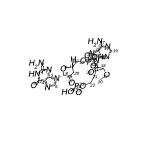 Nc1nc2c(ncn2[C@@H]2O[C@@H]3COP(=O)(O)OC4C5OC[C@]4(COP(=O)(O)OC2C3)O[C@H]5n2cnc3c(N)ncnc32)c(=O)[nH]1